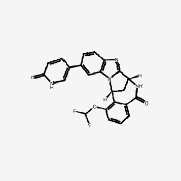 O=C1N[C@@H]2C[C@H](c3c(OC(F)F)cccc31)n1c2nc2ccc(-c3ccc(=O)[nH]c3)cc21